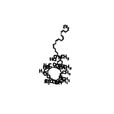 CC/C=C\C/C=C\C/C=C\C/C=C\C/C=C\CCCC(=O)N(C)[C@H]1C[C@@H](C)O[C@@H](O[C@@H]2[C@@H](C)[C@H](O)[C@@H](C)C(=O)O[C@H](CC)[C@@](C)(O)[C@H](O)[C@@H](C)N(C)C[C@H](C)C[C@@]2(C)O)[C@@H]1O